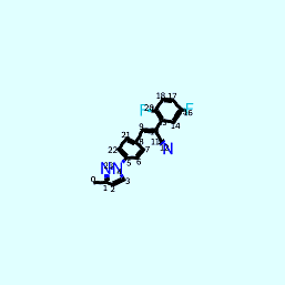 Cc1ccn(-c2ccc(C=C(C#N)c3cc(F)ccc3F)cc2)n1